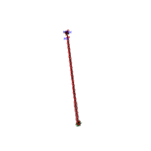 O=C(CCCC[C@@H]1SC[C@@H]2NC(=O)N[C@@H]21)NCCOCCOCCOCCOCCOCCOCCOCCOCCOCCOCCOCCOCCOCCOCCOCCOCCOCCOCCOCCOCCOCCOCCOCCOCCOCCOCCOCCOCCOCCOCCOCCOCCOCCOCCOCCOCCC(=O)Oc1c(F)c(F)c(F)c(F)c1F